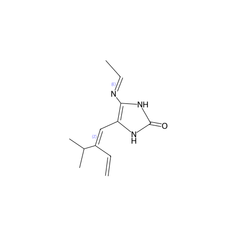 C=C/C(=C\c1[nH]c(=O)[nH]c1/N=C/C)C(C)C